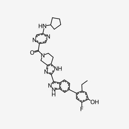 CCc1cc(O)c(F)cc1-c1ccc2c(-c3nc4c([nH]3)CCN(C(=O)c3cnc(NC5CCCC5)cn3)C4)n[nH]c2c1